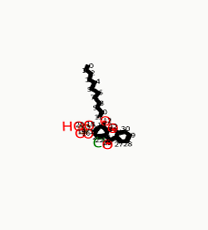 CCCCCCCCCCCCOc1cc(OS(=O)(=O)O)c(Cl)c2c(=O)c3ccccc3oc12